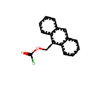 O=C(Cl)OCc1c2ccccc2cc2ccccc12